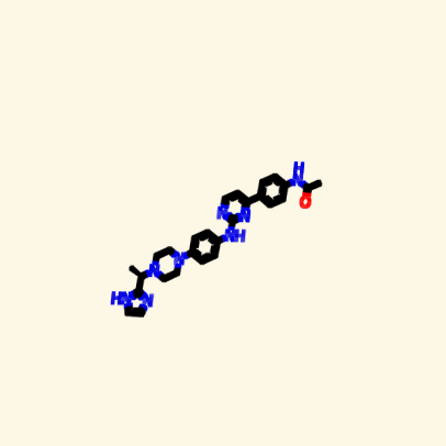 CC(=O)Nc1ccc(-c2ccnc(Nc3ccc(N4CCN([C@H](C)c5ncc[nH]5)CC4)cc3)n2)cc1